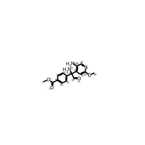 COC(=O)c1ccc(C(N)(C=O)c2cc(OC)ncc2N)cc1